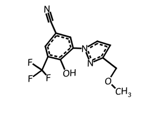 COCc1ccn(-c2cc(C#N)cc(C(F)(F)F)c2O)n1